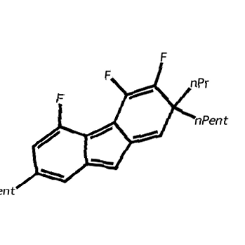 CCCCCc1cc(F)c2c(c1)=CC1=CC(CCC)(CCCCC)C(F)=C(F)C=21